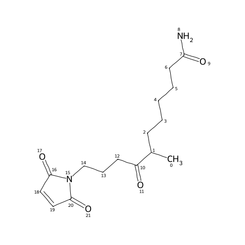 CC(CCCCCC(N)=O)C(=O)CCCN1C(=O)C=CC1=O